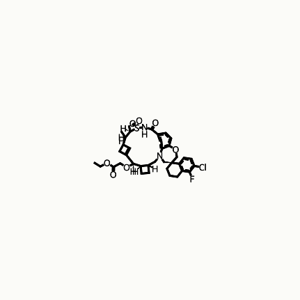 CCOC(=O)CO[C@H]1C2=C[C@@H](C2)[C@H](C)[C@@H](C)S(=O)(=O)NC(=O)c2ccc3c(c2)N(C[C@@H]2CC[C@H]21)C[C@@]1(CCCc2c1ccc(Cl)c2F)CO3